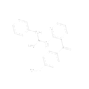 C=C(c1ccc(OC)cc1)c1cccnc1NC(=N)Nc1ccccc1